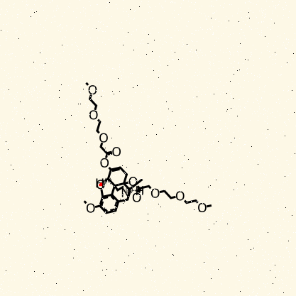 COCCOCCOCC(=O)OC1=CCC2(OC(=O)COCCOCCOC)[C@H]3Cc4ccc(OC)c5c4C2(CCN3C)[C@H]1O5